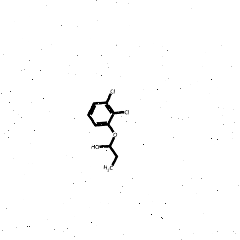 CCC(O)Oc1cccc(Cl)c1Cl